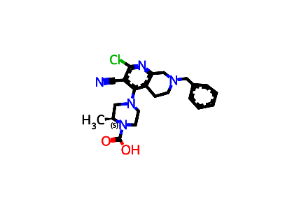 C[C@H]1CN(c2c(C#N)c(Cl)nc3c2CCN(Cc2ccccc2)C3)CCN1C(=O)O